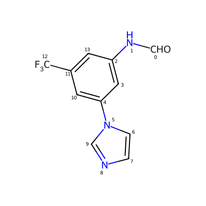 O=CNc1cc(-n2ccnc2)cc(C(F)(F)F)c1